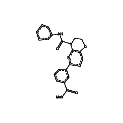 CNC(=O)c1cccc(-c2ccc3c(n2)N(C(=O)Nc2ccccc2)CCO3)c1